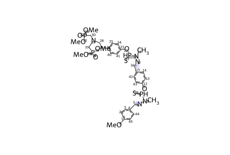 COc1ccc(/C=N/N(C)[PH](=S)Oc2ccc(/C=N/N(C)[PH](=S)Oc3ccc(CCN(CP(=O)(OC)OC)CP(=O)(OC)OC)cc3)cc2)cc1